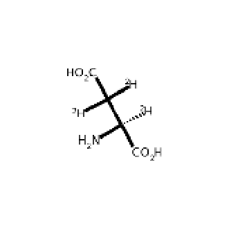 [2H]C([2H])(C(=O)O)[C@]([2H])(N)C(=O)O